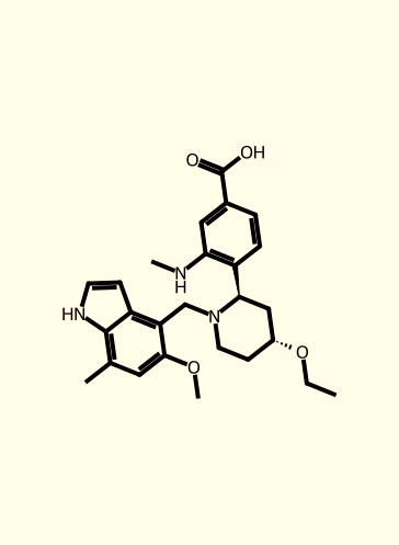 CCO[C@@H]1CCN(Cc2c(OC)cc(C)c3[nH]ccc23)[C@@H](c2ccc(C(=O)O)cc2NC)C1